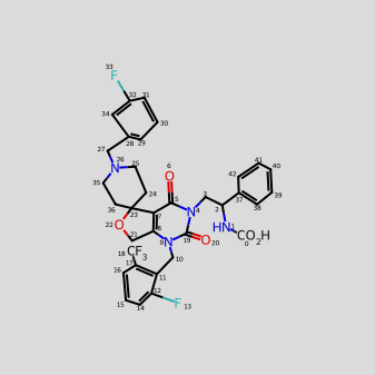 O=C(O)NC(Cn1c(=O)c2c(n(Cc3c(F)cccc3C(F)(F)F)c1=O)COC21CCN(Cc2cccc(F)c2)CC1)c1ccccc1